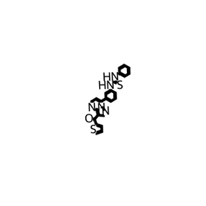 O=C(c1cccs1)c1cnn2c(-c3cccc(NC(=S)Nc4ccccc4)c3)ccnc12